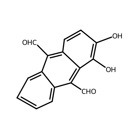 O=Cc1c2ccccc2c(C=O)c2c(O)c(O)ccc12